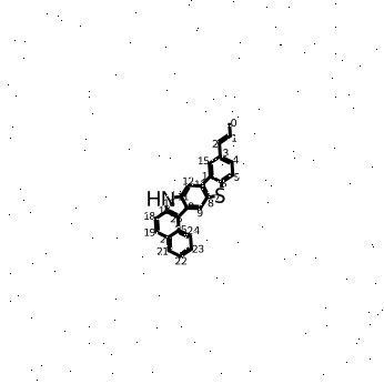 C/C=C/c1ccc2sc3cc4c(cc3c2c1)[nH]c1ccc2ccccc2c14